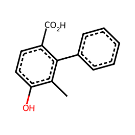 Cc1c(O)ccc(C(=O)O)c1-c1ccccc1